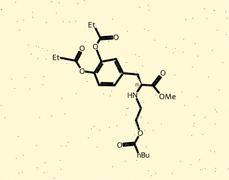 CCCCC(=O)OCCN[C@@H](Cc1ccc(OC(=O)CC)c(OC(=O)CC)c1)C(=O)OC